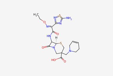 CCON=C(C(=O)NC1C(=O)N2CC(CN3CC=CCC3)(C(=O)O)CS[C@H]12)c1nsc(N)n1